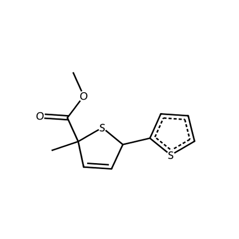 COC(=O)C1(C)C=CC(c2cccs2)S1